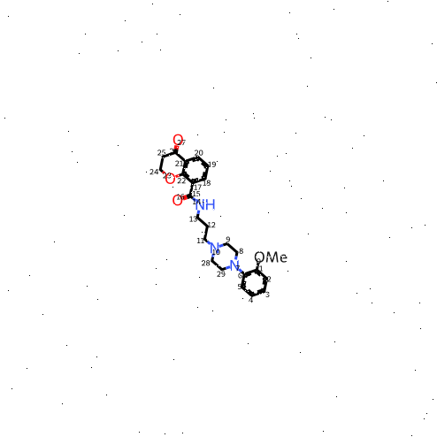 COc1ccccc1N1CCN(CCCNC(=O)c2cccc3c2OCCC3=O)CC1